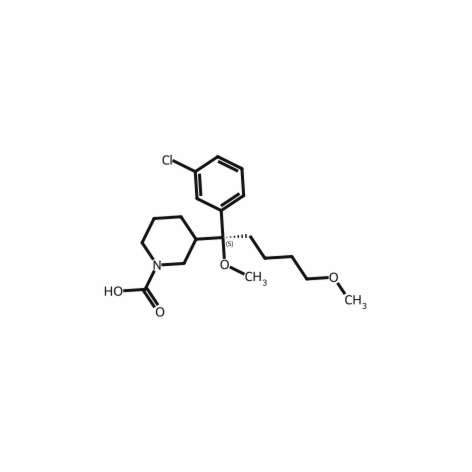 COCCCC[C@@](OC)(c1cccc(Cl)c1)C1CCCN(C(=O)O)C1